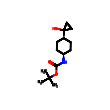 CC(C)(C)OC(=O)N[C@H]1CC[C@H](C2(O)CC2)CC1